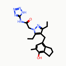 CCc1nn(CC(=O)Nc2nnn[nH]2)c(CC)c1Cc1cc(C)c(O)c2c1CCC2